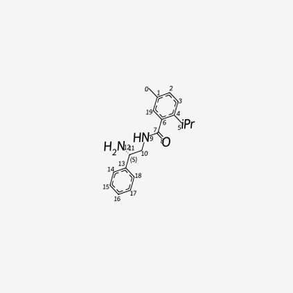 Cc1ccc(C(C)C)c(C(=O)NC[C@@H](N)c2ccccc2)c1